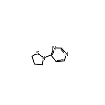 [c]1nccc(N2CCCS2)n1